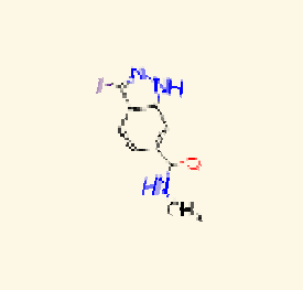 CNC(=O)c1ccc2c(I)n[nH]c2c1